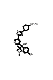 CC(=O)NC1CCC(c2nc(-c3cncc([C@@](O)(c4ccc(C(C)C)cc4)C4(C)CN(C)C4)c3)no2)CC1